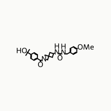 COc1ccc(CNC(=O)NC2CC3(C2)CN(C(=O)c2ccc(C(C)(C)O)cc2)C3)cc1